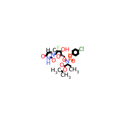 CCC(C(=O)OC(C)C)N(OC[C@H]1OC(n2ccc(=O)[nH]c2=O)[C@](C)(F)[C@@H]1O)[PH](=O)Oc1ccc(Cl)cc1